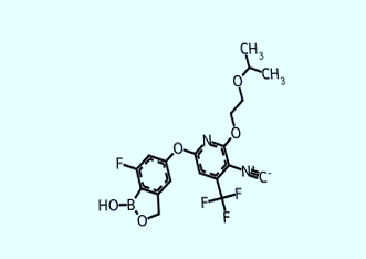 [C-]#[N+]c1c(C(F)(F)F)cc(Oc2cc(F)c3c(c2)COB3O)nc1OCCOC(C)C